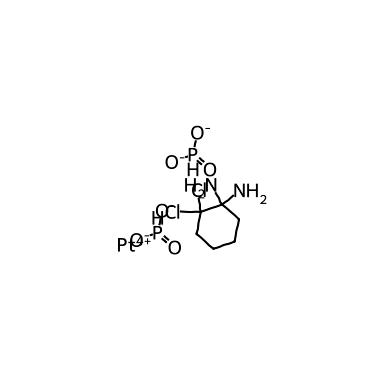 NC1(N)CCCCC1(Cl)Cl.O=[PH]([O-])[O-].O=[PH]([O-])[O-].[Pt+4]